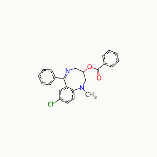 CN1CC(OC(=O)c2ccccc2)CN=C(c2ccccc2)c2cc(Cl)ccc21